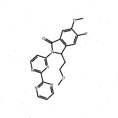 COCCC1c2cc(F)c(OC)cc2C(=O)N1c1ccnc(-c2ncccn2)n1